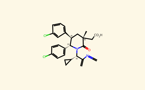 C=NC(=C)[C@H](C1CC1)N1C(=O)[C@@](C)(CC(=O)O)C[C@H](c2cccc(Cl)c2)[C@H]1c1ccc(Cl)cc1